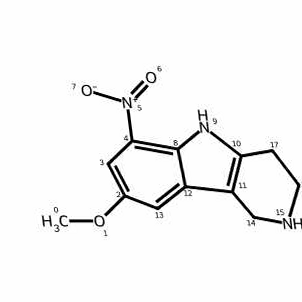 COc1cc([N+](=O)[O-])c2[nH]c3c(c2c1)CNCC3